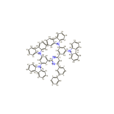 c1ccc(-c2cccc(-c3cc(-c4cc(-n5c6ccccc6c6ccccc65)cc(-n5c6ccccc6c6ccccc65)c4)nc(-c4cc(-n5c6ccccc6c6ccccc65)cc(-n5c6ccccc6c6ccccc65)c4)n3)c2)cc1